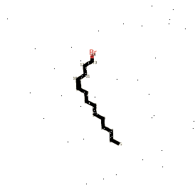 CCCCCCCCC/C=C\CCCBr